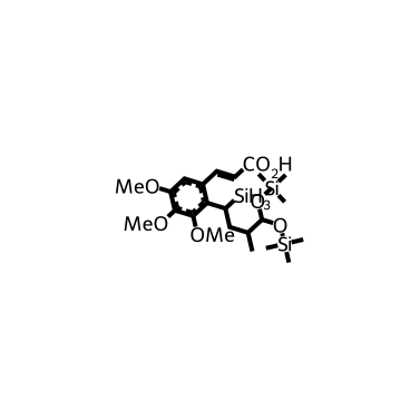 COc1cc(C=CC(=O)O)c(C([SiH3])CC(C)C(O[Si](C)(C)C)O[Si](C)(C)C)c(OC)c1OC